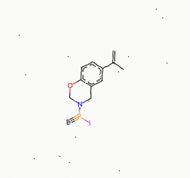 B#P(I)N1COc2ccc(C(=C)C)cc2C1